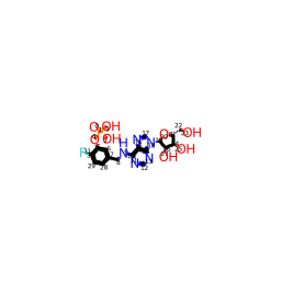 O=P(O)(O)Oc1cc(CNc2ncnc3c2ncn3[C@@H]2O[C@H](CO)[C@@H](O)[C@H]2O)ccc1F